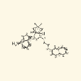 CC1(C)O[C@@H]2[C@H](O1)C(CCCCc1ccc3ccncc3c1)C[C@H]2n1ccc2c(N)ncnc21